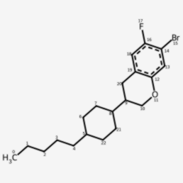 CCCCCC1CCC(C2COc3cc(Br)c(F)cc3C2)CC1